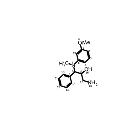 COc1cccc(N(C)C(c2ccccc2)C(O)CN)c1